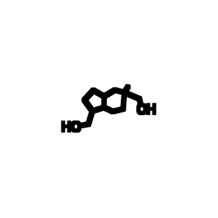 CC1(CO)CCC2C(CO)CCC2C1